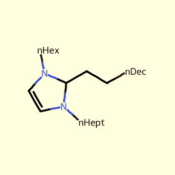 CCCCCCCCCCCCC1N(CCCCCC)C=CN1CCCCCCC